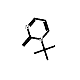 C=C1N=CC=CN1C(C)(C)C